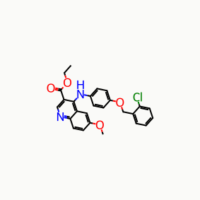 CCOC(=O)c1cnc2ccc(OC)cc2c1Nc1ccc(OCc2ccccc2Cl)cc1